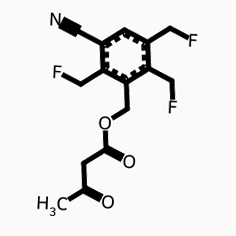 CC(=O)CC(=O)OCc1c(CF)c(C#N)cc(CF)c1CF